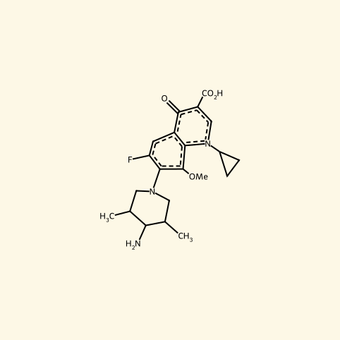 COc1c(N2CC(C)C(N)C(C)C2)c(F)cc2c(=O)c(C(=O)O)cn(C3CC3)c12